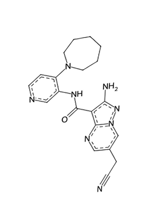 N#CCc1cnc2c(C(=O)Nc3cnccc3N3CCCCCC3)c(N)nn2c1